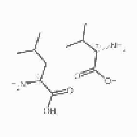 CC(C)C[C@H](N)C(=O)O.CC(C)[C@H](N)C(=O)O